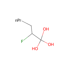 CCCCC(F)C(O)(O)O